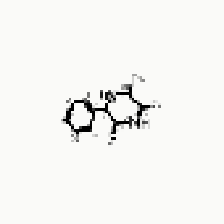 FC1NC(F)C(c2ccccc2)NC1F